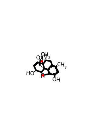 Cc1cc(O)c2c3c1C[C@@H]1[C@@H]4C=C[C@H](O)[C@H](O2)[C@]34CC[N+]1(C)[O-]